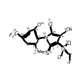 CSc1c(S(Cl)(Cl)CF)c(C#N)c(Cl)n1-c1c(Cl)cc(C(F)(F)F)cc1Cl